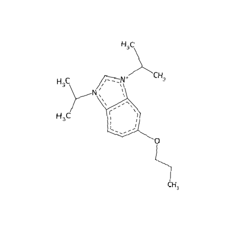 CCCOc1ccc2c(c1)[n+](C(C)C)cn2C(C)C